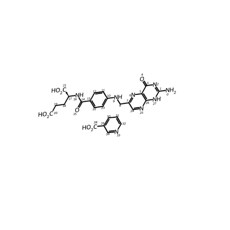 Nc1nc(=O)c2nc(CNc3ccc(C(=O)N[C@@H](CCC(=O)O)C(=O)O)cc3)cnc2[nH]1.O=C(O)c1cccnc1